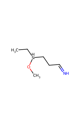 CC[SiH](CCC=N)OC